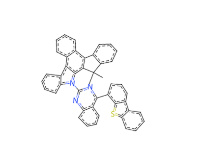 CC1(C)c2ccccc2-c2c1c1c(c3ccccc23)c2ccccc2n1-c1nc(-c2cccc3c2sc2ccccc23)c2ccccc2n1